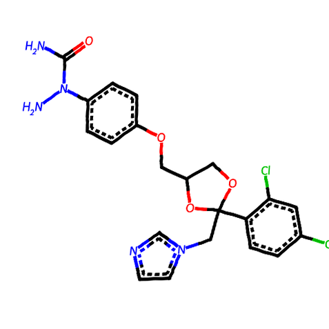 NC(=O)N(N)c1ccc(OCC2COC(Cn3ccnc3)(c3ccc(Cl)cc3Cl)O2)cc1